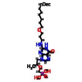 CCCCCCCCCCCCCCCCOCCCNc1nc2c(ncn2CC(C)OCP(=O)(O)O)c(=O)[nH]1